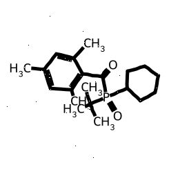 Cc1cc(C)c(C(=O)P(=O)(C2CCCCC2)C(C)(C)C)c(C)c1